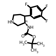 CC(C)(C)OC(=O)N[C@H]1CNCCC1c1cc(F)c(F)cc1F